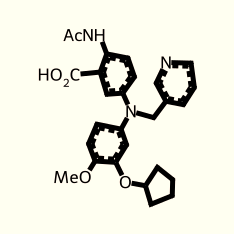 COc1ccc(N(Cc2cccnc2)c2ccc(NC(C)=O)c(C(=O)O)c2)cc1OC1CCCC1